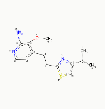 COc1c(CCc2nc(C(C)C)cs2)ccnc1N